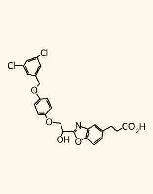 O=C(O)CCc1ccc2oc(C(O)COc3ccc(OCc4cc(Cl)cc(Cl)c4)cc3)nc2c1